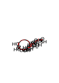 C[C@@H]1[C@H](O)[C@@H](C)/C=C/C=C/C=C/C=C/C=C/C=C/C=C/[C@H](O[C@@H]2C[C@H](C)[C@@H](O)[C@H](NC(=O)OCOC(=O)C3CCC(CN4C(=O)CC(S)C4=O)CC3)[C@@H]2O)C[C@@H]2O[C@](O)(C[C@@H](O)C[C@@H](O)[C@H](O)CC[C@@H](O)C[C@@H](O)CC(=O)O[C@H]1C)C[C@H](O)[C@H]2C(=O)O